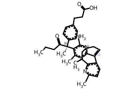 CCCC(=O)[C@@](C)(c1ccc(CCC(=O)O)cc1)c1c(C)nc(/C2=C\CCCC(C)c3nc(C)ccc32)nc1N